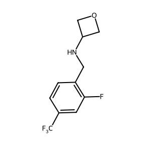 Fc1cc(C(F)(F)F)ccc1CNC1COC1